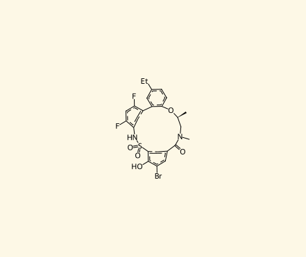 CCc1ccc2c(c1)-c1cc(c(F)cc1F)NS(=O)(=O)c1cc(cc(Br)c1O)C(=O)N(C)C[C@H](C)O2